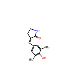 CC(C)(C)c1cc(C=C2CCNC2=O)cc(C(C)(C)C)c1O